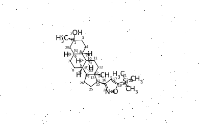 C[C@@]1(O)CC[C@H]2[C@@H](CC[C@@H]3[C@@H]2CC[C@]2(C)[C@@H](c4cc([Si](C)(C)C)on4)CC[C@@H]32)C1